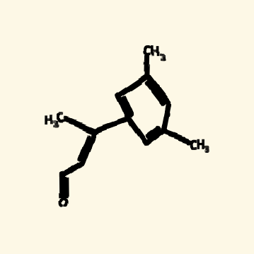 CC(=CC=O)c1cc(C)cc(C)c1